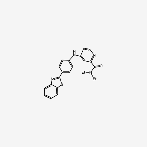 CCN(CC)C(=O)c1cc(Nc2ccc(-c3nc4ccccc4s3)cc2)ccn1